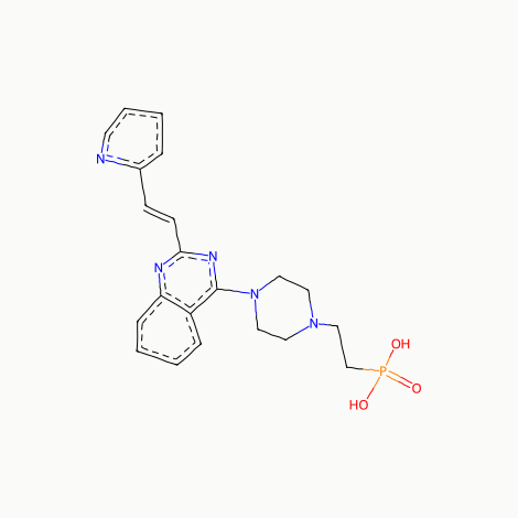 O=P(O)(O)CCN1CCN(c2nc(/C=C/c3ccccn3)nc3ccccc23)CC1